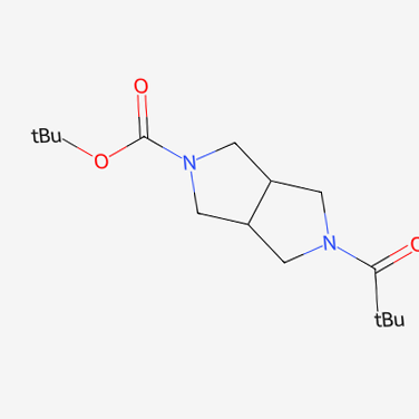 CC(C)(C)OC(=O)N1CC2CN(C(=O)C(C)(C)C)CC2C1